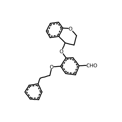 O=Cc1ccc(OCCc2ccccc2)c(OC2CCOc3ccccc32)c1